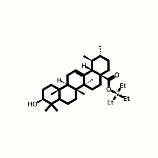 CC[Si](CC)(CC)OC(=O)[C@]12CC[C@@H](C)[C@H](C)[C@H]1C1=CC[C@@H]3[C@@]4(C)CC[C@H](O)C(C)(C)C4CC[C@@]3(C)[C@]1(C)CC2